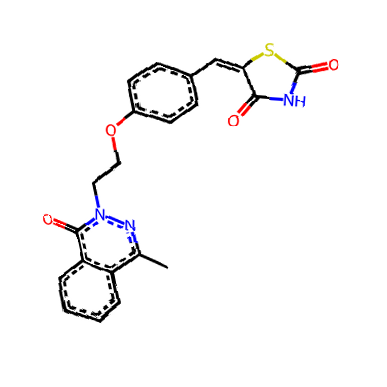 Cc1nn(CCOc2ccc(C=C3SC(=O)NC3=O)cc2)c(=O)c2ccccc12